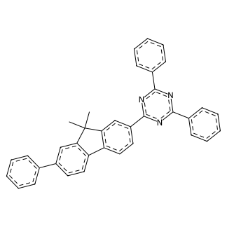 CC1(C)c2cc(-c3ccccc3)ccc2-c2ccc(-c3nc(-c4ccccc4)nc(-c4ccccc4)n3)cc21